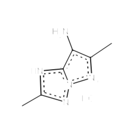 Cc1nn2nc(C)c(N)c2[nH]1.Cl